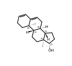 C[C@]12CC[C@H]3[C@@H](CC=C4C=CCC[C@@]43C)[C@@H]1CC[C@@H]2O